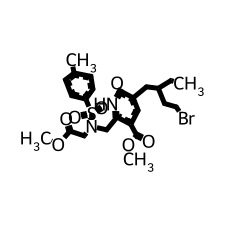 CCC(CCBr)Cc1cc(C(=O)OC)c(CN(CC(=O)OC)S(=O)(=O)c2ccc(C)cc2)[nH]c1=O